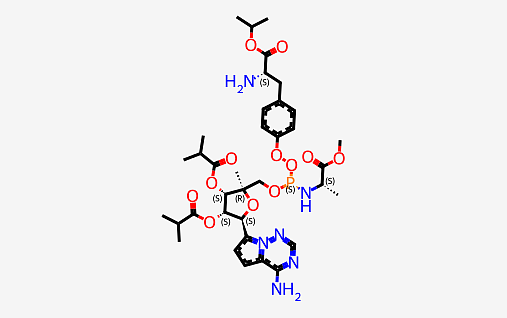 COC(=O)[C@H](C)N[P@](OC[C@@]1(C)O[C@@H](c2ccc3c(N)ncnn23)[C@H](OC(=O)C(C)C)[C@@H]1OC(=O)C(C)C)OOc1ccc(C[C@H](N)C(=O)OC(C)C)cc1